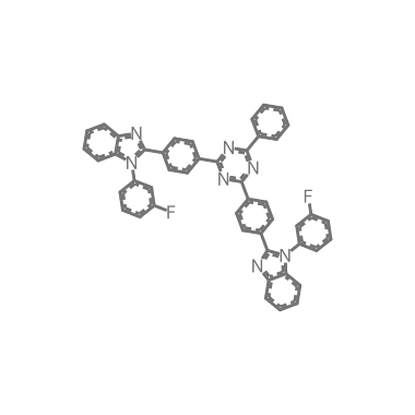 Fc1cccc(-n2c(-c3ccc(-c4nc(-c5ccccc5)nc(-c5ccc(-c6nc7ccccc7n6-c6cccc(F)c6)cc5)n4)cc3)nc3ccccc32)c1